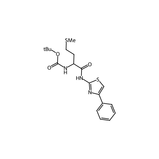 CSCCC(NC(=O)OC(C)(C)C)C(=O)Nc1nc(-c2ccccc2)cs1